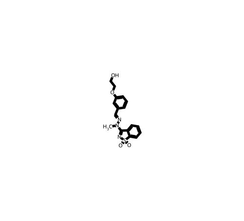 CN(/N=C/c1cccc(OCCO)c1)C1=NS(=O)(=O)c2ccccc21